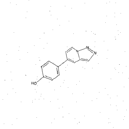 Oc1ccc(-c2ccn3nncc3c2)cc1